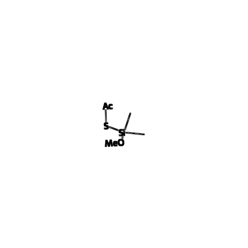 CO[Si](C)(C)SC(C)=O